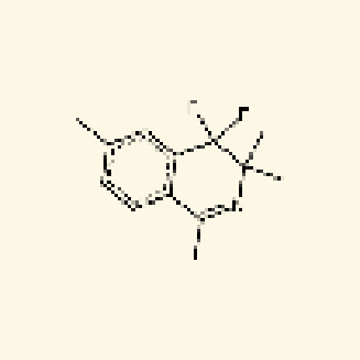 CC1=NC(C)(C)C(F)(F)c2cc(C)ccc21